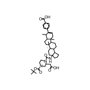 CC1C(c2ccc(C(=O)O)cc2)=CCC2(C)C1CCC1(C)C2CCC2C3CCCC3(NC(=O)N3CCN(C(=O)OC(C)(C)C)CC3CC(=O)O)CC[C@]21C